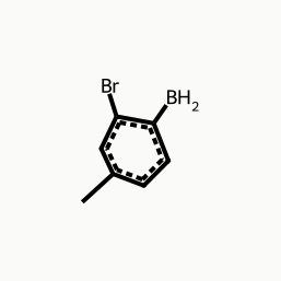 Bc1ccc(C)cc1Br